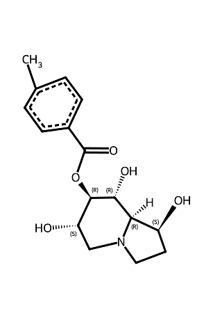 Cc1ccc(C(=O)O[C@H]2[C@H](O)[C@H]3[C@@H](O)CCN3C[C@@H]2O)cc1